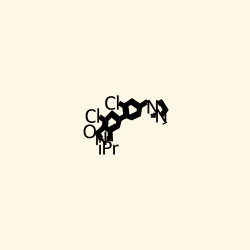 CC(C)N1Cc2cc(-c3ccc(CN4CCN(C)C4)cc3Cl)cc(Cl)c2C1=O